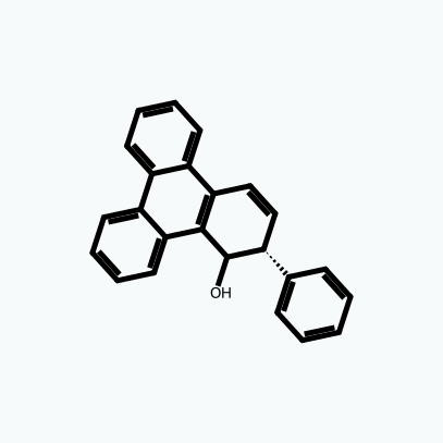 OC1c2c(c3ccccc3c3ccccc23)C=C[C@@H]1c1ccccc1